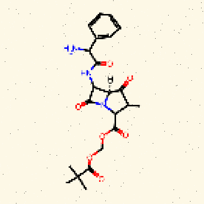 CC1C(=O)[C@@H]2C(NC(=O)C(N)c3ccccc3)C(=O)N2C1C(=O)OCOC(=O)C(C)(C)C